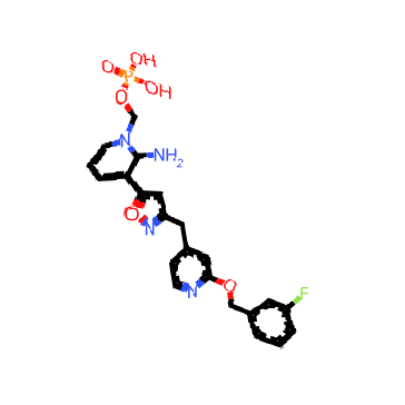 NC1C(c2cc(Cc3ccnc(OCc4cccc(F)c4)c3)no2)=CC=CN1COP(=O)(O)O